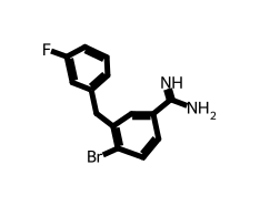 N=C(N)c1ccc(Br)c(Cc2cccc(F)c2)c1